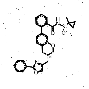 CC1([S+]([O-])NC(=O)c2ccccc2-c2ccc3c(c2)OC[C@H](Cc2coc(-c4ccccc4)n2)C3)CC1